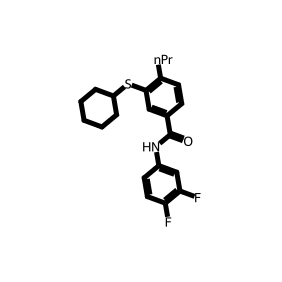 CCCc1ccc(C(=O)Nc2ccc(F)c(F)c2)cc1SC1CCCCC1